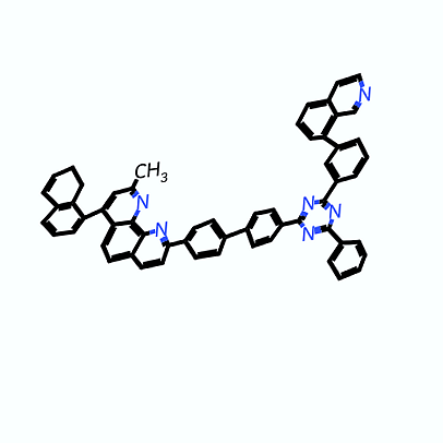 Cc1cc(-c2cccc3c2CCC=C3)c2ccc3ccc(-c4ccc(-c5ccc(-c6nc(-c7ccccc7)nc(-c7cccc(-c8cccc9ccncc89)c7)n6)cc5)cc4)nc3c2n1